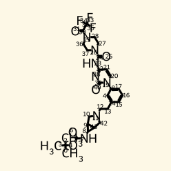 CC(C)(C)OC(=O)NC1C2CN(CCc3cccc(-n4ccc(NC(=O)N5CCN(C(=O)C(F)(F)F)CC5)nc4=O)c3)CC21